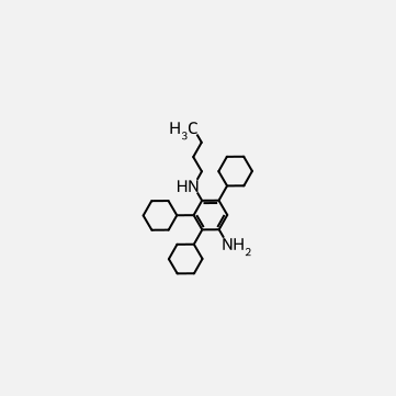 CCCCNc1c(C2CCCCC2)cc(N)c(C2CCCCC2)c1C1CCCCC1